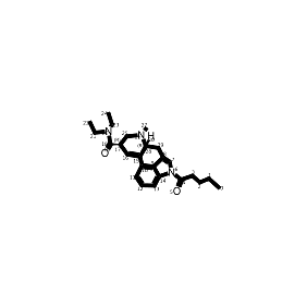 CCCCC(=O)n1cc2c3c(cccc31)C1=C[C@@H](C(=O)N(CC)CC)CN(C)[C@@H]1C2